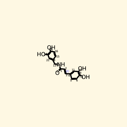 O=C(/C=C/c1ccc(O)c(O)c1)NCc1ccc(O)c(O)c1